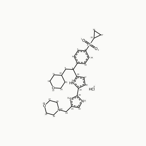 Cl.O=S(=O)(c1ccc(C(CC2CCOCC2)c2ccc(-c3ncc(CN4CCOCC4)s3)[nH]2)cc1)C1CC1